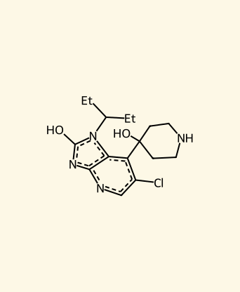 CCC(CC)n1c(O)nc2ncc(Cl)c(C3(O)CCNCC3)c21